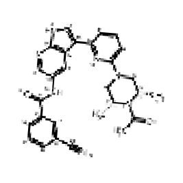 CC(=O)N1[C@H](C)CN(c2cccc(-c3c[nH]c4ncc(NC(=O)c5cccc(C#N)c5)cc34)n2)C[C@@H]1C